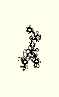 CCc1c(N2CCN(C(=O)c3ncnc(C)c3OCc3ccccc3)CC2)c(=O)n2nc(-c3ccc4c(c3C)CCO4)nc2n1CC(=O)Nc1ccc(C(F)(F)F)cc1Cl